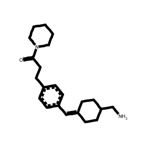 NCC1CCC(=Cc2ccc(CCC(=O)N3CCCCC3)cc2)CC1